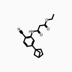 CCOC(=O)CC(=O)Nc1cc(C23CCC(C2)C3)ccc1C#N